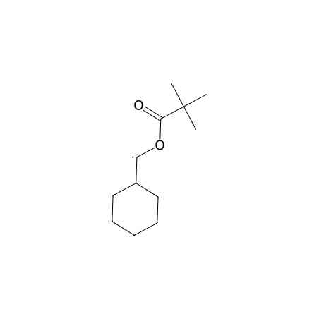 CC(C)(C)C(=O)O[CH]C1CCCCC1